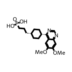 COc1cc2ncnc([C@H]3CC[C@@H](CCCP(=O)(O)O)CC3)c2cc1OC